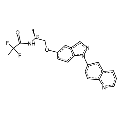 C[C@@H](COc1ccc2c(cnn2-c2ccc3ncccc3c2)c1)NC(=O)C(C)(F)F